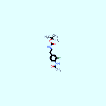 CC(=O)Nc1ccc(CCNC(=O)OC(C)(C)C)cc1Cl